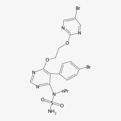 CCCN(c1ncnc(OCCOc2ncc(Br)cn2)c1-c1ccc(Br)cc1)S(N)(=O)=O